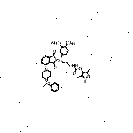 COc1ccc([C@@H](CCCNC(=O)Oc2c(C)nn(C)c2C)N2C(=O)c3cccc(N4CCN([C@H](C)c5ccccc5)CC4)c3C2=O)cc1OC